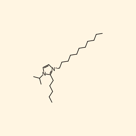 CCCCCCCCCCC[n+]1ccn(C(C)C)c1CCCCC